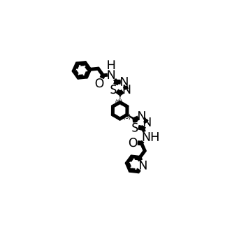 O=C(Cc1ccccc1)Nc1nnc([C@H]2CCC[C@H](c3nnc(NC(=O)Cc4ccccn4)s3)C2)s1